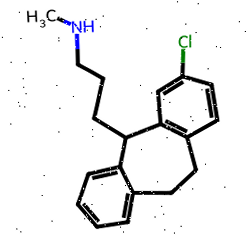 CNCCCC1c2ccccc2CCc2ccc(Cl)cc21